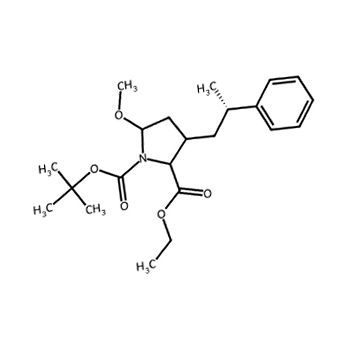 CCOC(=O)C1C(C[C@H](C)c2ccccc2)CC(OC)N1C(=O)OC(C)(C)C